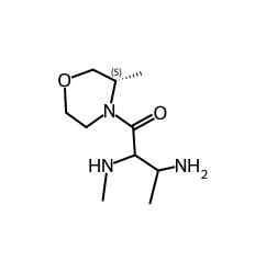 CNC(C(=O)N1CCOC[C@@H]1C)C(C)N